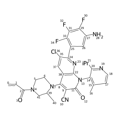 C=CC(=O)N1CCN(c2c(C#N)c(=O)n(-c3c(C)ccnc3C(C)C)c3nc(-c4cc(N)c(F)c(F)c4F)c(Cl)cc23)C(C)C1